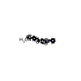 Cc1nc(-c2ccc(CC(=O)N3CCN(S(=O)(=O)/C=C/c4ccccc4)CC3)cc2)no1